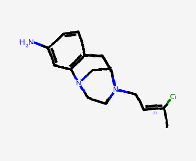 C/C(Cl)=C/CN1CCN2CC1Cc1ccc(N)cc12